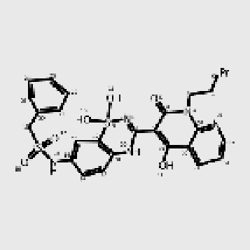 CC(C)CCn1c(=O)c(C2=NS(O)(O)c3cc(NS(=O)(=O)Cc4ccccc4)ccc3N2)c(O)c2cccnc21